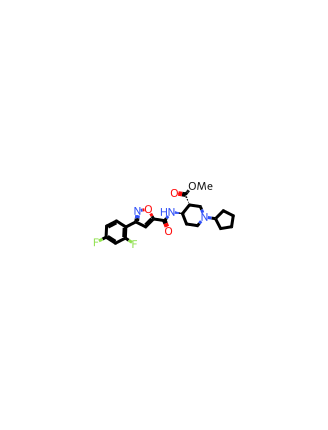 COC(=O)[C@@H]1CN(C2CCCC2)CC[C@H]1NC(=O)c1cc(-c2ccc(F)cc2F)no1